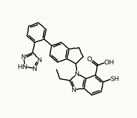 CCc1nc2ccc(S)c(C(=O)O)c2n1C1CCc2cc(-c3ccccc3-c3nn[nH]n3)ccc21